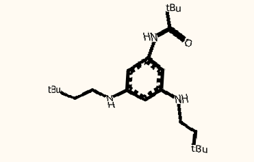 CC(C)(C)CCNc1cc(NCCC(C)(C)C)cc(NC(=O)C(C)(C)C)c1